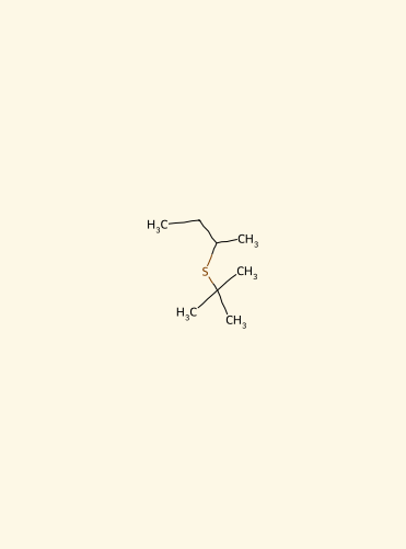 CCC(C)SC(C)(C)C